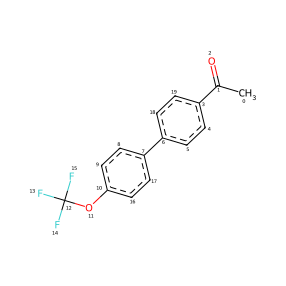 CC(=O)c1ccc(-c2ccc(OC(F)(F)F)cc2)cc1